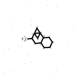 FC(F)(F)C1CC2CCCCC2C23CC12C3